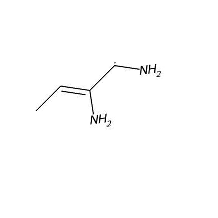 CC=C(N)[CH]N